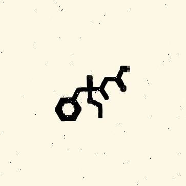 CCOP(=O)(Cc1ccccc1)C(C)CC(=O)O